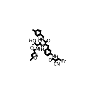 Cc1ccc(CNC(=O)C(Cc2cccc(NC(=O)C(C#N)=CC(C)C)c2)NC(=O)[C@@H](NC(=O)c2cc(C)on2)[C@@H](C)O)cc1